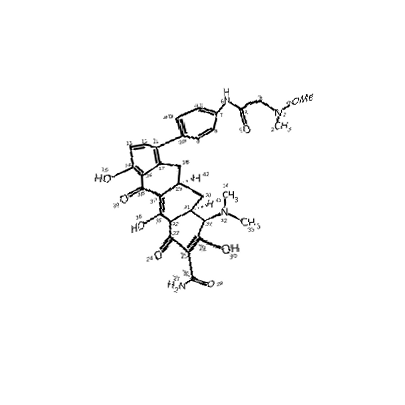 CON(C)CC(=O)Nc1ccc(-c2ccc(O)c3c2C[C@H]2C[C@@H]4C(C(=O)C(C(N)=O)=C(O)[C@@H]4N(C)C)C(O)=C2C3=O)cc1